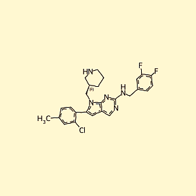 Cc1ccc(-c2cc3cnc(NCc4ccc(F)c(F)c4)nc3n2C[C@@H]2CCCNC2)c(Cl)c1